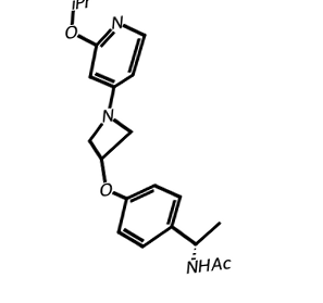 CC(=O)N[C@@H](C)c1ccc(OC2CN(c3ccnc(OC(C)C)c3)C2)cc1